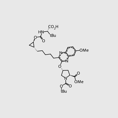 COC(=O)[C@@H]1C[C@@H](Oc2nc3cc(OC)ccc3nc2CCCCC[C@@H]2C[C@H]2OC(=O)N[C@H](C(=O)O)C(C)(C)C)CN1C(=O)OC(C)(C)C